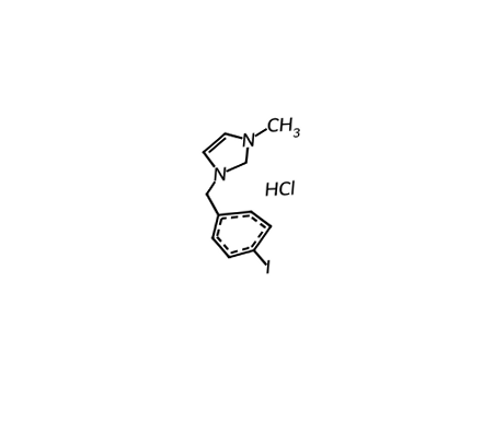 CN1C=CN(Cc2ccc(I)cc2)C1.Cl